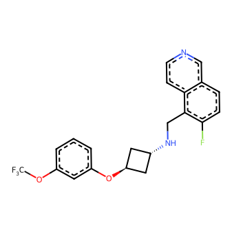 Fc1ccc2cnccc2c1CN[C@H]1C[C@H](Oc2cccc(OC(F)(F)F)c2)C1